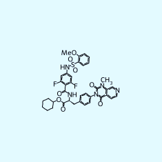 COc1ccccc1S(=O)(=O)Nc1cc(F)c(C(=O)N[C@@H](Cc2ccc(-n3c(=O)c4ccncc4n(C)c3=O)cc2)C(=O)OC2CCCCC2)c(F)c1